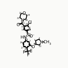 CN1CC[C@@H](Oc2cc(N[S+]([O-])c3cc(C(=O)N4CCOCC4)c(Cl)s3)ccc2C(F)(F)F)C1